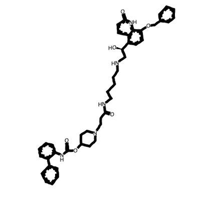 O=C(CCN1CCC(OC(=O)Nc2ccccc2-c2ccccc2)CC1)NCCCCCNC[C@@H](O)c1ccc(OCc2ccccc2)c2[nH]c(=O)ccc12